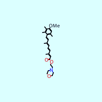 COc1cc(C)c(/C=C/C(C)=C/C=C/C(C)=C/C(=O)OCCN2CCOCC2)c(C)c1C